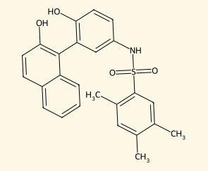 Cc1cc(C)c(S(=O)(=O)Nc2ccc(O)c(-c3c(O)ccc4ccccc34)c2)cc1C